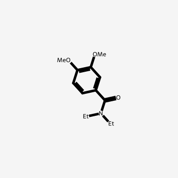 CCN(CC)C(=O)c1ccc(OC)c(OC)c1